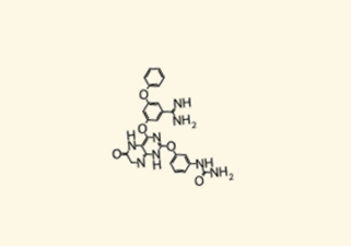 N=C(N)c1cc(OC2=C3NC(=O)CN=C3NC(Oc3cccc(NC(N)=O)c3)=N2)cc(Oc2ccccc2)c1